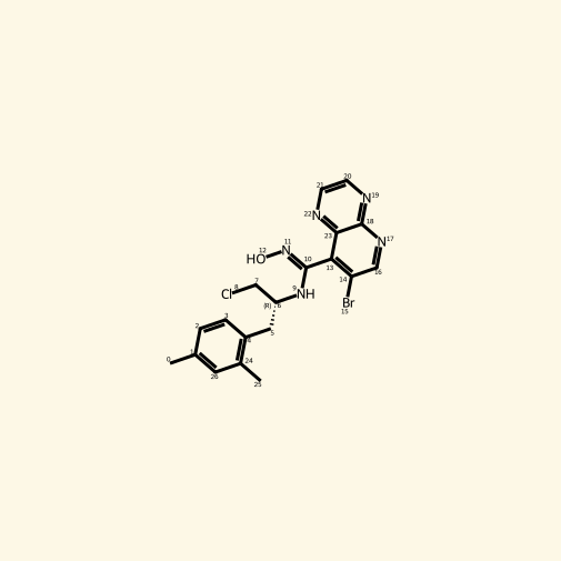 Cc1ccc(C[C@H](CCl)NC(=NO)c2c(Br)cnc3nccnc23)c(C)c1